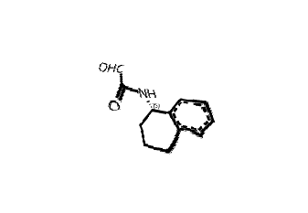 O=CC(=O)N[C@H]1CCCc2ccccc21